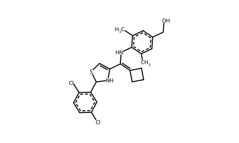 Cc1cc(CO)cc(C)c1NC(C1=CSC(c2cc(Cl)ccc2Cl)N1)=C1CCC1